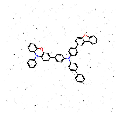 c1ccc(-c2ccc(N(c3ccc(-c4ccc5c(c4)Oc4ccccc4N5c4ccccc4)cc3)c3ccc(-c4ccc5oc6ccccc6c5c4)cc3)cc2)cc1